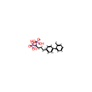 Cc1ccccc1-c1ccc(CCCC(P(=O)(O)O)P(=O)(O)O)cc1